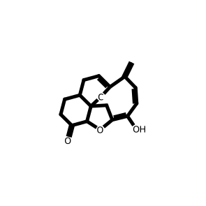 C=C1/C=C\C(O)=C2/CC34CC1=CCC3CCC(=O)C4O2